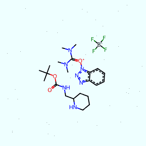 CC(C)(C)OC(=O)NCC1CCCCN1.CN(C)C(=[O+]n1nnc2ccccc21)N(C)C.F[B-](F)(F)F